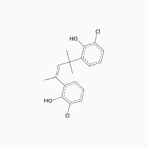 CC(=CC(C)(C)c1cccc(Cl)c1O)c1cccc(Cl)c1O